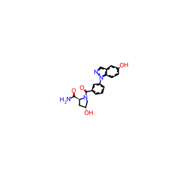 NC(=O)[C@@H]1C[C@@H](O)CN1C(=O)c1cccc(-n2ncc3cc(O)ccc32)c1